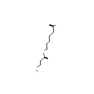 CC(C)SCCC(=O)NCCCCCC(N)=O